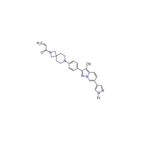 C=CC(=O)N1CC2(CCN(c3ccc(-c4nn5cc(-c6cnn(CC)c6)ccc5c4C#N)cc3)CC2)C1